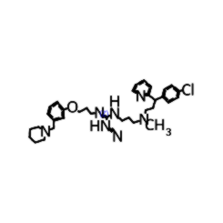 CN(CCCN/C(=N/CCCOc1cccc(CN2CCCCC2)c1)NC#N)CCC(c1ccc(Cl)cc1)c1ccccn1